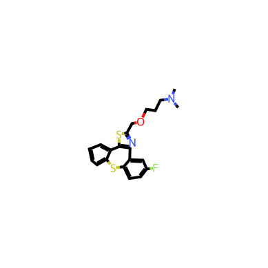 CN(C)CCCOCc1nc2c(s1)-c1ccccc1Sc1ccc(F)cc1-2